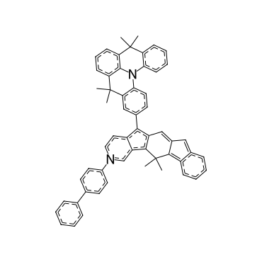 CC1(C)C2=c3ccccc3=CC2=Cc2c(-c3ccc4c(c3)C(C)(C)c3cccc5c3N4c3ccccc3C5(C)C)c3ccn(-c4ccc(-c5ccccc5)cc4)cc-3c21